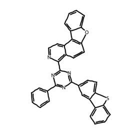 c1ccc(-c2nc(-c3ccc4sc5ccccc5c4c3)nc(-c3nccc4c3ccc3oc5ccccc5c34)n2)cc1